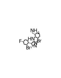 Cc1nn(C)c(Nc2c(Br)cccc2CN)c1-c1ccc(F)cc1Br